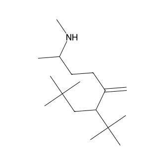 C=C(CCC(C)NC)C(CC(C)(C)C)C(C)(C)C